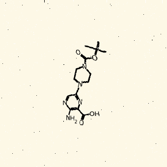 CC(C)(C)OC(=O)N1CCN(c2cnc(N)c(C(=O)O)n2)CC1